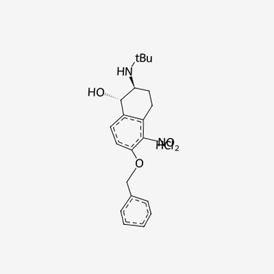 CC(C)(C)N[C@H]1CCc2c(ccc(OCc3ccccc3)c2[N+](=O)[O-])[C@@H]1O.Cl